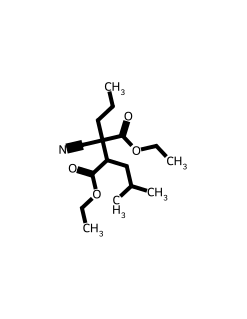 CCCC(C#N)(C(=O)OCC)C(CC(C)C)C(=O)OCC